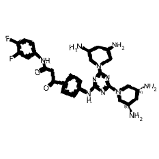 NC1CC(N)CN(c2nc(Nc3ccc(C(=O)CC(=O)Nc4ccc(F)c(F)c4)cc3)nc(N3C[C@H](N)C[C@@H](N)C3)n2)C1